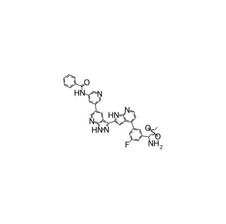 CS(=O)(=O)C(N)c1cc(F)cc(-c2ccnc3[nH]c(-c4n[nH]c5ncc(-c6cncc(NC(=O)c7ccccc7)c6)cc45)cc23)c1